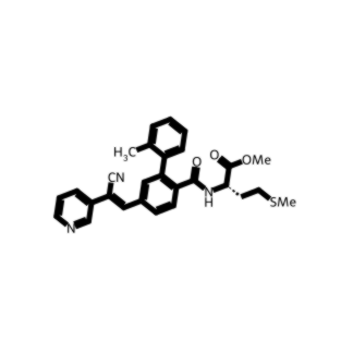 COC(=O)[C@H](CCSC)NC(=O)c1ccc(/C=C(\C#N)c2cccnc2)cc1-c1ccccc1C